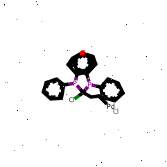 [Cl][Pd][CH2]CC(Cl)(P(c1ccccc1)c1ccccc1)P(c1ccccc1)c1ccccc1